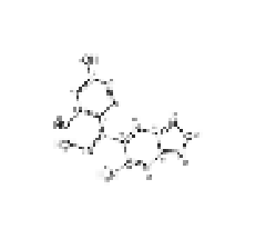 N/N=C(\c1ccc(O)cc1O)c1nc2nonc2nc1N